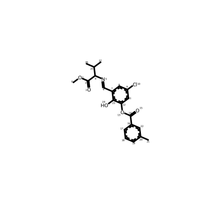 COC(=O)C(N=Cc1cc(Cl)cc(OC(=O)c2cccc(C)c2)c1O)C(C)C